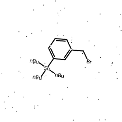 CCC[CH2][Sn]([CH2]CCC)([CH2]CCC)[c]1cccc(CBr)c1